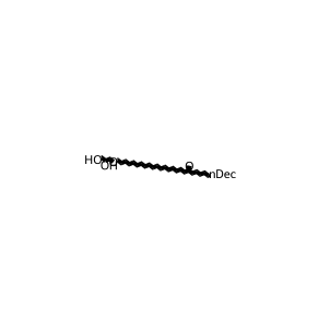 CCCCCCCCCCCCCCCC(=O)CCCCCCCCCCCCCCCCCCOCC(O)CO